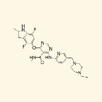 CCN1CCN(Cc2ccc(Nc3ncnc(Oc4cc(F)c5[nH]c(C)cc5c4F)c3C(=O)NC)nc2)CC1